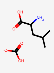 CC(C)CC(N)C(=O)O.[O]C(=O)O